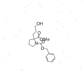 COC(=O)C1(CCCO)CCCN1C(=O)OCc1ccccc1